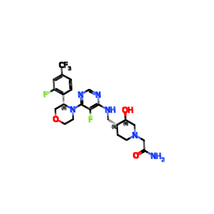 NC(=O)CN1CC[C@H](CNc2ncnc(N3CCOC[C@@H]3c3ccc(C(F)(F)F)cc3F)c2F)[C@@H](O)C1